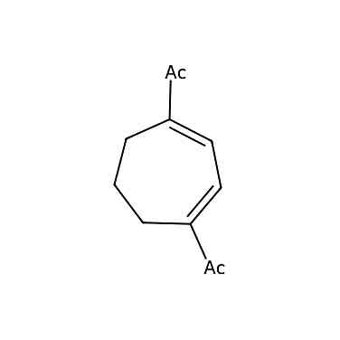 CC(=O)C1=CC=C(C(C)=O)CCC1